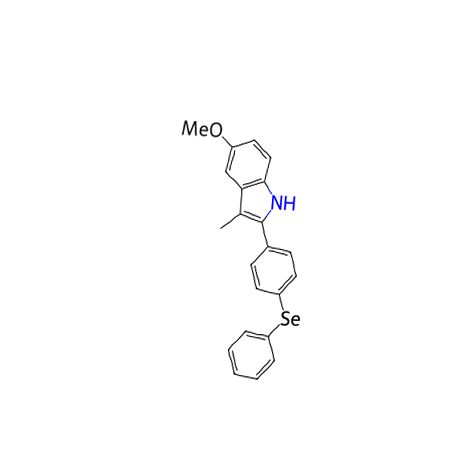 COc1ccc2[nH]c(-c3ccc([Se]c4ccccc4)cc3)c(C)c2c1